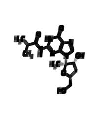 CC(C)C(=O)Nc1nc2c(ncn2[C@]2(C)O[C@H](CO)C[C@H]2O)c(=O)[nH]1